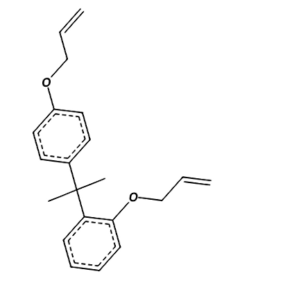 C=CCOc1ccc(C(C)(C)c2ccccc2OCC=C)cc1